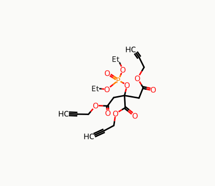 C#CCOC(=O)CC(CC(=O)OCC#C)(OP(=O)(OCC)OCC)C(=O)OCC#C